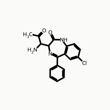 CC(=O)C(N)C1N=C(c2ccccc2)c2cc(Cl)ccc2NC1=O